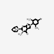 Cc1cc(Br)cc(C)c1-n1cc2c(=O)n(C)c(N3CC4CC(C3)O4)nc2n1